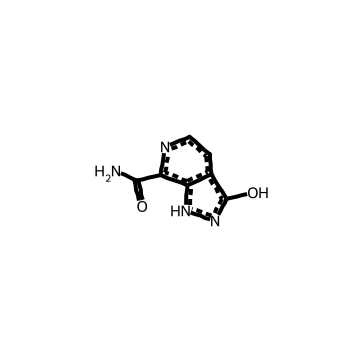 NC(=O)c1nccc2c(O)n[nH]c12